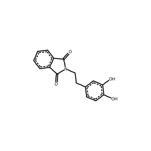 O=C1c2ccccc2C(=O)N1CCc1ccc(O)c(O)c1